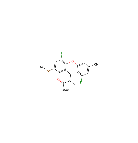 COC(=O)C(C)Cc1cc(SC(C)=O)cc(F)c1Oc1cc(F)cc(C#N)c1